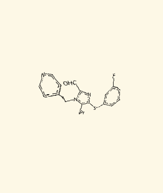 CC(C)c1c(Sc2cccc(F)c2)nc(C=O)n1Cc1ccncc1